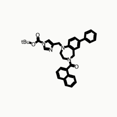 CC(C)(C)OC(=O)n1cnc(CN2CCN(C(=O)c3cccc4ccccc34)Cc3cc(-c4ccccc4)ccc32)c1